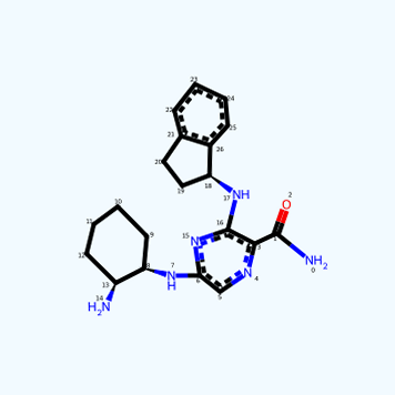 NC(=O)c1ncc(N[C@@H]2CCCC[C@@H]2N)nc1N[C@H]1CCc2ccccc21